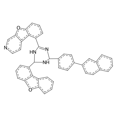 c1ccc2cc(-c3ccc(C4N=C(c5cccc6oc7cnccc7c56)NC(c5cccc6oc7ccccc7c56)N4)cc3)ccc2c1